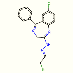 Clc1ccc2c(c1)C(c1ccccc1)=NCC(NN=CCBr)=N2